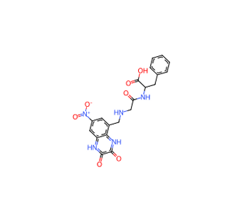 O=C(CNCc1cc([N+](=O)[O-])cc2[nH]c(=O)c(=O)[nH]c12)NC(Cc1ccccc1)C(=O)O